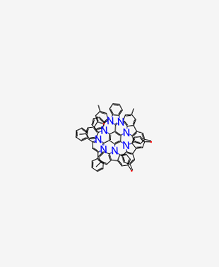 Cc1ccc2c(c1)c1cc(C)ccc1n2-c1c(-c2nc(-c3ccccc3)cc(-c3ccccc3)n2)c(-n2c3ccc(C)cc3c3cc(C)ccc32)c(-n2c3ccc(C)cc3c3cc(C)ccc32)c(-n2c3ccc(C)cc3c3cc(C)ccc32)c1-c1nc2ccccc2n1-c1ccccc1